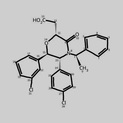 C[C@H](c1ccccc1)N1C(=O)[C@@H](CC(=O)O)O[C@H](c2cccc(Cl)c2)[C@H]1c1ccc(Cl)cc1